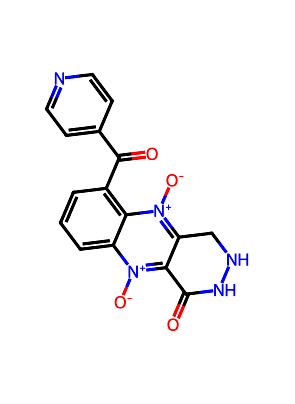 O=C(c1ccncc1)c1cccc2c1[n+]([O-])c1c([n+]2[O-])C(=O)NNC1